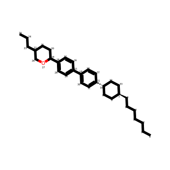 CCCCCCC[C@H]1CC[C@H](c2ccc(-c3ccc(C4CCC(CCC)CO4)cc3)cc2)CC1